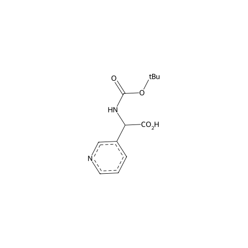 CC(C)(C)OC(=O)NC(C(=O)O)c1cccnc1